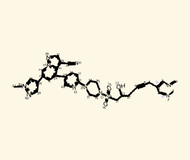 C=N/C=C(\C=N/C)CC#CCC(O)CS(=O)(=O)N1CCN(c2ccc(-c3cc(-c4cnn(C)c4)cn4ncc(C#N)c34)cn2)CC1